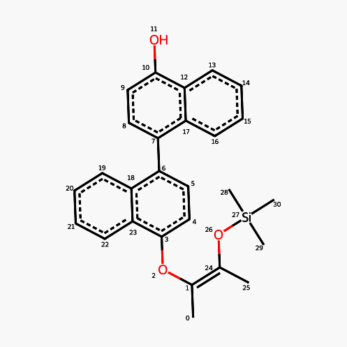 CC(Oc1ccc(-c2ccc(O)c3ccccc23)c2ccccc12)=C(C)O[Si](C)(C)C